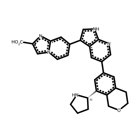 O=C(O)c1cn2ccc(-c3c[nH]c4ncc(-c5cc6c(c([C@@H]7CCCN7)c5)COCC6)cc34)cc2n1